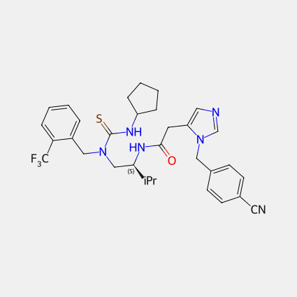 CC(C)[C@@H](CN(Cc1ccccc1C(F)(F)F)C(=S)NC1CCCC1)NC(=O)Cc1cncn1Cc1ccc(C#N)cc1